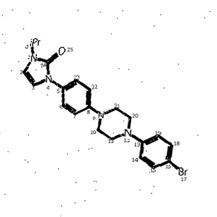 CC(C)n1ccn(-c2ccc(N3CCN(c4ccc(Br)cc4)CC3)cc2)c1=O